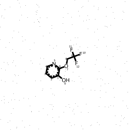 Oc1cccnc1OCC(F)(F)F